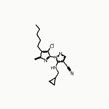 C=C1N=C(n2ncc(C#N)c2NCC2CC2)C(Cl)=C1CCCCC